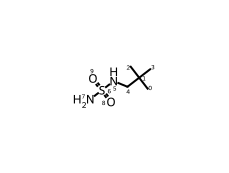 CC(C)(C)CNS(N)(=O)=O